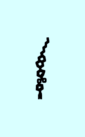 CCCCCCCC1CCC2CC(c3ccc(C(=O)Oc4ccc(C#N)cc4)cc3)CCC2C1